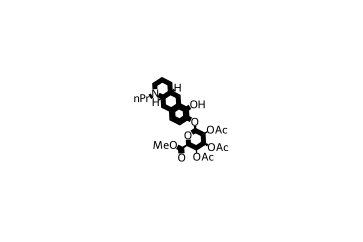 CCCN1CCC[C@@H]2Cc3c(ccc(O[C@@H]4O[C@H](C(=O)OC)[C@@H](OC(C)=O)[C@H](OC(C)=O)[C@H]4OC(C)=O)c3O)C[C@H]21